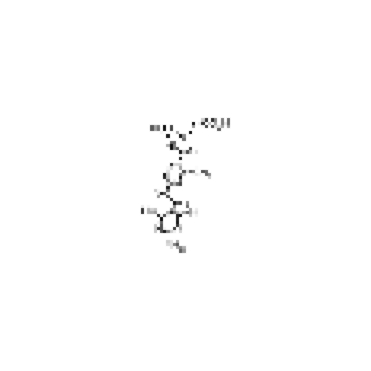 Cc1cc(C(=O)c2c[nH]c3nc(N)nc(O)c23)ccc1C(=O)N[C@@H](CCC(=O)O)C(=O)O